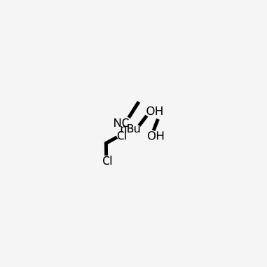 CC#N.CCCCO.CO.ClCCl